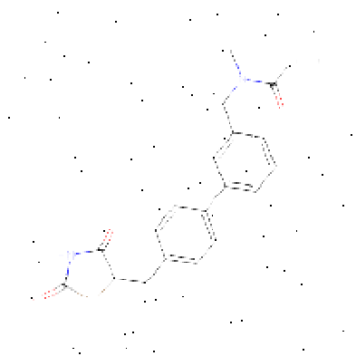 CCCCCC(=O)N(C)Cc1cccc(-c2ccc(CC3SC(=O)NC3=O)cc2)c1